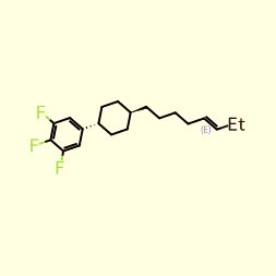 CC/C=C/CCCC[C@H]1CC[C@H](c2cc(F)c(F)c(F)c2)CC1